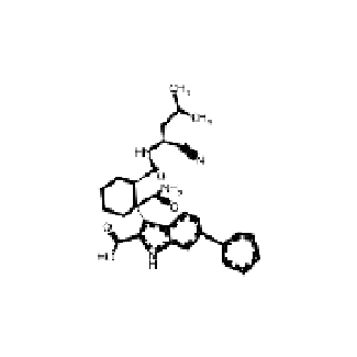 CC(C)C[C@@H](C#N)NC(=O)[C@@H]1CCCC[C@@]1(C(N)=O)c1c(C(=O)O)[nH]c2cc(-c3ccccc3)ccc12